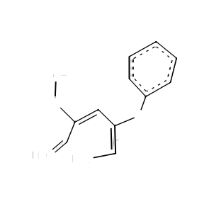 C=C/C(=C\C(=C/C)Sc1ccccc1)OC